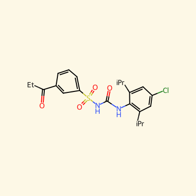 CCC(=O)c1cccc(S(=O)(=O)NC(=O)Nc2c(C(C)C)cc(Cl)cc2C(C)C)c1